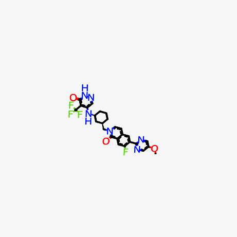 COc1cnc(-c2cc3ccn(C[C@@H]4CCC[C@H](Nc5cn[nH]c(=O)c5C(F)(F)F)C4)c(=O)c3cc2F)nc1